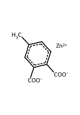 Cc1ccc(C(=O)[O-])c(C(=O)[O-])c1.[Zn+2]